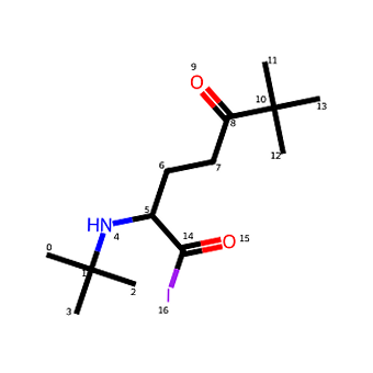 CC(C)(C)NC(CCC(=O)C(C)(C)C)C(=O)I